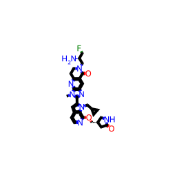 Cn1c(-c2cc3ccnc(OC[C@@H]4CNC(=O)C4)c3n2CC2CC2)nc2cc3c(nc21)CCN(C[C@H](N)CF)C3=O